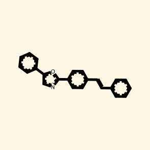 C(=Cc1ccc(-c2ncc(-c3ccccc3)o2)cc1)c1ccccc1